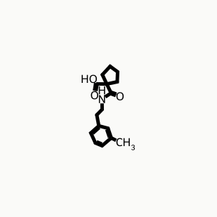 Cc1cccc(CCNC(=O)C2(C(=O)O)CCCC2)c1